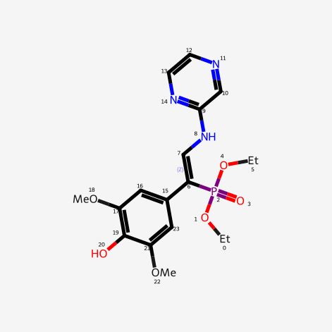 CCOP(=O)(OCC)/C(=C\Nc1cnccn1)c1cc(OC)c(O)c(OC)c1